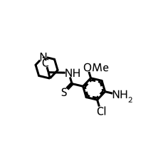 COc1cc(N)c(Cl)cc1C(=S)NC1CN2CCC1CC2